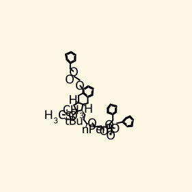 CCCCC[C@@H](CC[C@H]1C(O[Si](C)(C)C(C)(C)C)C[C@@H]2Cc3c(cccc3OCC(=O)OCc3ccccc3)C[C@@H]21)OCCOP(=O)(OCc1ccccc1)OCc1ccccc1